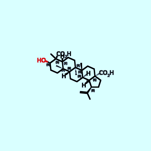 C=C(C)[C@@H]1CC[C@]2(C(=O)O)CC[C@]3(C)[C@H](CC[C@@H]4[C@@]5(C)CC[C@@H](O)[C@@](C)(C(=O)O)[C@@H]5CC[C@]43C)[C@@H]12